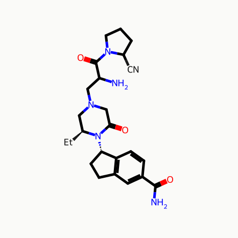 CC[C@H]1CN(CC(N)C(=O)N2CCCC2C#N)CC(=O)N1[C@H]1CCc2cc(C(N)=O)ccc21